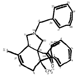 CC1(c2ccccc2)CC=C(I)C2CN(Cc3ccccc3)CC21C(=O)O